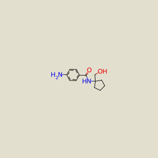 Nc1ccc(C(=O)NC2(CO)CCCC2)cc1